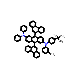 Cc1cccc(N(c2ccc(C(C)(C)C)cc2)c2ccc3c(-c4cc5ccccc5c5ccccc45)c4cc(N(c5ccccc5)c5ccccc5)ccc4c(-c4cc5ccccc5c5ccccc45)c3c2)c1